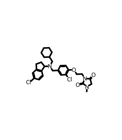 CN1CC(=O)N(CCOc2ccc(CN(CC3CCCCC3)C3CCc4cc(Cl)ccc43)cc2Cl)C1=O